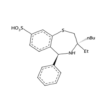 CCCC[C@@]1(CC)CSc2cc(S(=O)(=O)O)ccc2[C@H](c2ccccc2)N1